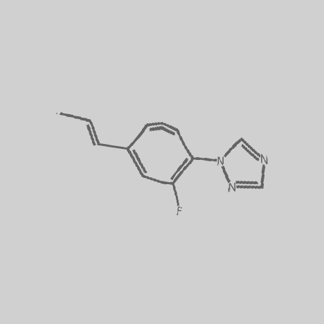 [CH2]/C=C/c1ccc(-n2cncn2)c(F)c1